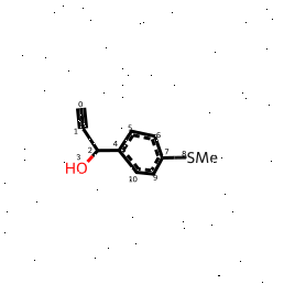 C#CC(O)c1ccc(SC)cc1